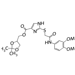 COc1ccc(NC(=O)CSc2nc(C(=O)OCC3COC(C)(C)O3)c[nH]2)cc1OC